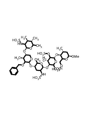 CO[C@@H]1C[C@@H](C)[C@H](O[C@@H]2OC(C(=O)O)[C@@H](O[C@H]3OC(C)[C@@H](O[C@@H]4OC[C@@H](O[C@@H]5OC(C)[C@@H](C)[C@H](C)C5NS(=O)(=O)O)[C@H](C)C4OCc4ccccc4)CC3NS(=O)(=O)O)[C@H](C)C2OS(=O)(=O)O)C(COS(=O)(=O)O)O1